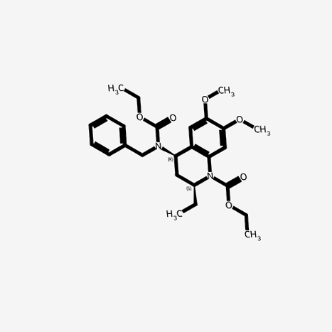 CCOC(=O)N(Cc1ccccc1)[C@@H]1C[C@H](CC)N(C(=O)OCC)c2cc(OC)c(OC)cc21